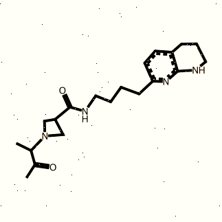 CC(=O)C(C)N1CC(C(=O)NCCCCc2ccc3c(n2)NCCC3)C1